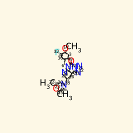 COc1ccc(Cn2c(=O)n3ncnc3c3cc(CN4CC(C)OC(C)C4)cnc32)cc1F